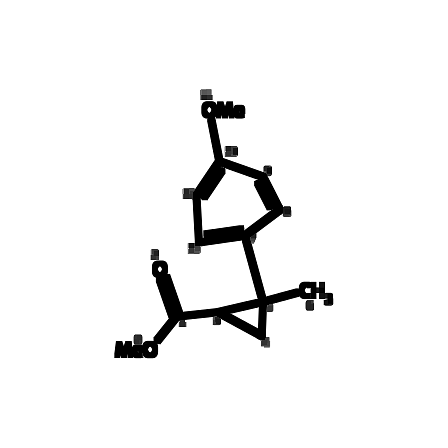 COC(=O)C1CC1(C)c1ccc(OC)cc1